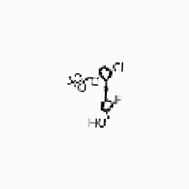 CC(C)(C)OC(=O)COc1ccc(Cl)cc1C#Cc1ccc(CO)cc1F